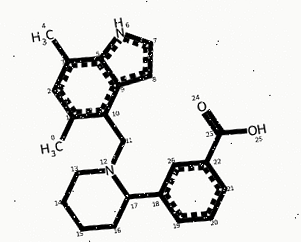 Cc1cc(C)c2[nH]ccc2c1CN1CCCCC1c1cccc(C(=O)O)c1